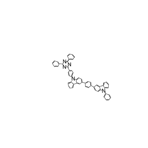 c1ccc(-c2nc(-c3ccccc3)nc(-c3ccc(-n4c5ccccc5c5cc(-c6ccc(-c7ccc8c(c7)c7ccccc7n8-c7ccccc7)cc6)ccc54)cc3)n2)cc1